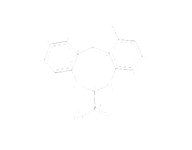 Cc1cccc2c1Cc1ccccc1OC(C(=O)O)O2